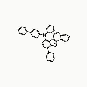 c1ccc(-c2ccc(N(c3ccccc3)c3ccc(-c4ccccc4)c4oc5c6ccccc6ccc5c34)cc2)cc1